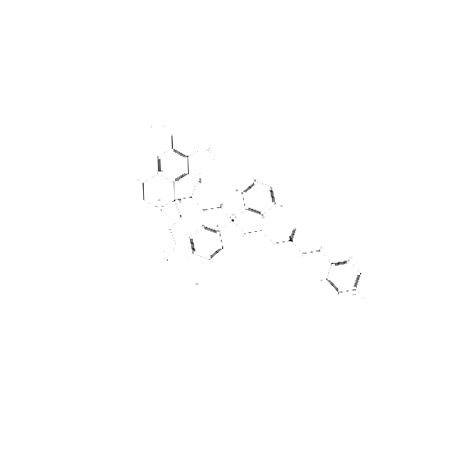 COc1cc2c(cc1OC)C(CCCN)(C(N)CCC(CCCC(=O)CCc1ccc(F)cc1)(c1ccccc1)c1ccccc1)NCC2.Cl